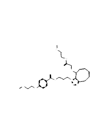 CNCCNC(=O)COC1CCCCCc2nnn(CCCNC(=O)c3ccc(OCCNC)cc3)c21